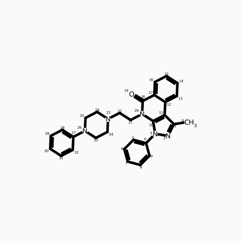 Cc1nn(-c2ccccc2)c2c1c1ccccc1c(=O)n2CCN1CCN(c2ccccc2)CC1